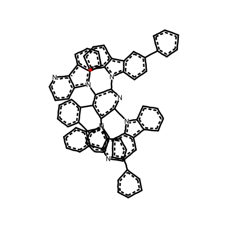 c1ccc(-c2ccc3c(c2)c2ccccc2n3-c2nc(-n3c4ccccc4c4cc(-c5ccccc5)ccc43)c(-n3c4ccccc4c4ncccc43)c(-c3ccccc3-c3ccccn3)c2-n2c3ccccc3c3ncccc32)cc1